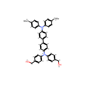 COc1ccc(N(c2ccc(OC)cc2)c2ccc(-c3ccc(N(c4ccc(CO)cc4)c4ccc(CO)cc4)cc3)cc2)cc1